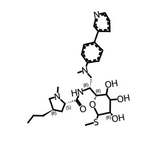 CCC[C@@H]1C[C@@H](C(=O)N[C@H](CN(C)c2ccc(-c3cccnc3)cc2)[C@H]2OC(SC)[C@H](O)C(O)C2O)N(C)C1